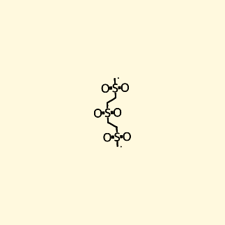 [CH2]S(=O)(=O)CCS(=O)(=O)CCS([CH2])(=O)=O